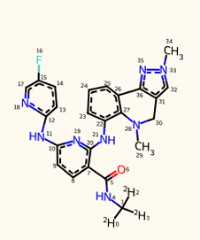 [2H]C([2H])([2H])NC(=O)c1ccc(Nc2ccc(F)cn2)nc1Nc1cccc2c1N(C)Cc1cn(C)nc1-2